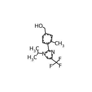 Cc1cc(CO)ccc1-c1nc(C(F)(F)F)cn1C(C)C